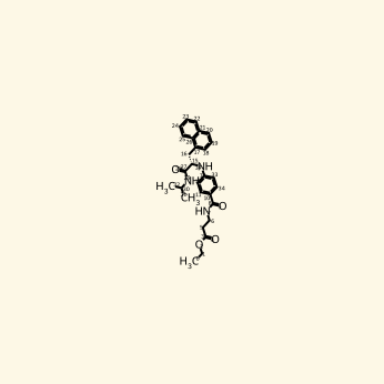 CCOC(=O)CCNC(=O)c1ccc(N[C@@H](Cc2cccc3ccccc23)C(=O)NC(C)C)cc1